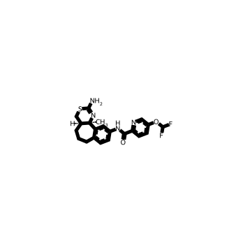 C[C@@]12N=C(N)SC[C@@H]1CCCc1ccc(NC(=O)c3ccc(OC(F)F)cn3)cc12